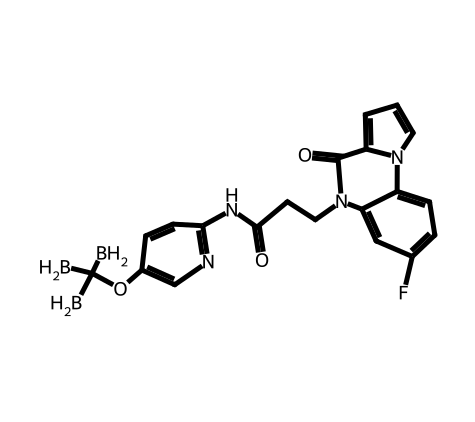 BC(B)(B)Oc1ccc(NC(=O)CCn2c(=O)c3cccn3c3ccc(F)cc32)nc1